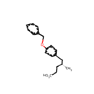 C[C@H](CCC(=O)O)Cc1ccc(OCc2ccccc2)cc1